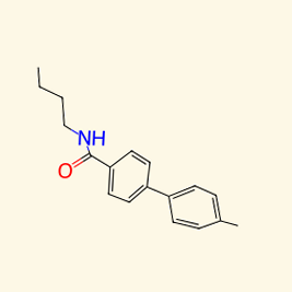 CCCCNC(=O)c1ccc(-c2ccc(C)cc2)cc1